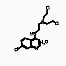 ClCCN(CCCl)CCNc1ccnc2cc(Cl)ccc12.O